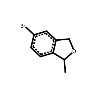 CC1OCc2cc(Br)ccc21